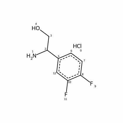 Cl.NC(CO)c1ccc(F)c(F)c1